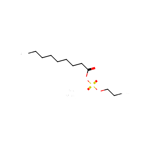 CCCCCCCCCCCCCCCCCC(=O)OS(=O)(=O)OCCCCCCCCCCCC.[MgH2].[NaH]